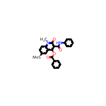 CSc1ccc2c(c1)c(OC(=O)c1ccccc1)c(C(=O)Nc1ccccc1)c(=O)n2C